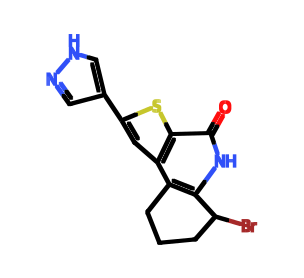 O=c1[nH]c2c(c3cc(-c4cn[nH]c4)sc13)CCCC2Br